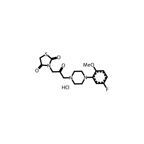 COc1ccc(F)cc1N1CCN(CC(=O)CN2C(=O)CSC2=O)CC1.Cl